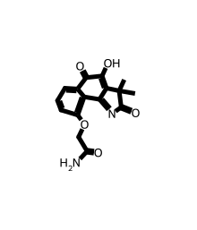 CC1(C)C(=O)N=C2C1=C(O)C(=O)c1cccc(OCC(N)=O)c12